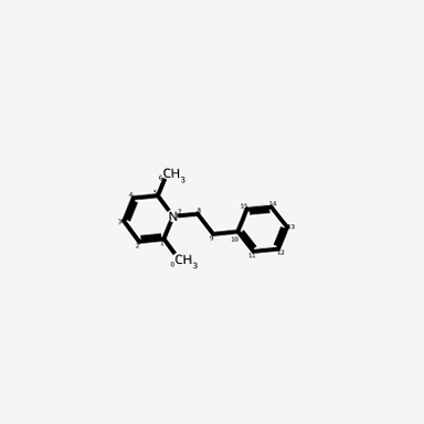 CC1=CC=CC(C)N1CCc1ccccc1